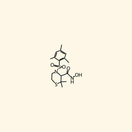 Cc1cc(C)c(S(=O)(=O)N2CCSC(C)(C)C2C(=O)NO)c(C)c1